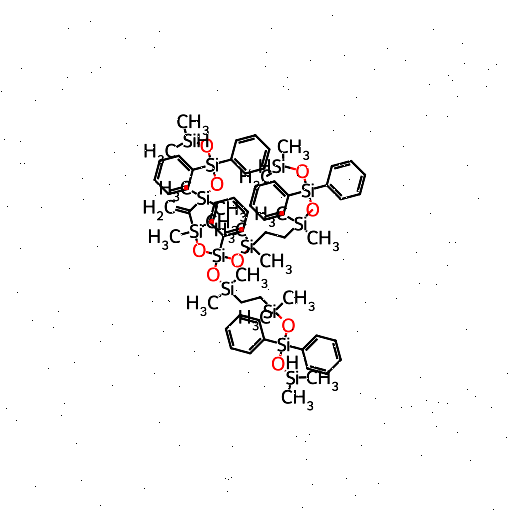 C=C([Si](C)(C)O[Si](O[Si](C)(C)CC[Si](C)(C)O[Si](O[SiH](C)C)(c1ccccc1)c1ccccc1)(O[Si](C)(C)CC[Si](C)(C)O[Si](O[SiH](C)C)(c1ccccc1)c1ccccc1)c1ccccc1)[Si](C)(C)O[Si](O[SiH](C)C)(c1ccccc1)c1ccccc1